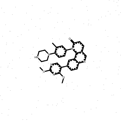 COc1ncc(-c2ccc3ncc4ccc(=O)n(-c5ccc(N6CCNCC6)c(C)c5)c4c3c2)c(OC)n1